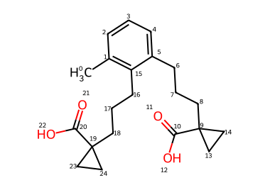 Cc1cccc(CCCC2(C(=O)O)CC2)c1CCCC1(C(=O)O)CC1